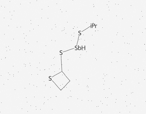 CC(C)[S][SbH][S]C1CCS1